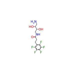 NCC(O)C(O)CNC(=O)CCc1c(F)c(F)c(F)c(F)c1F